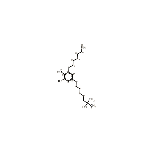 CCC(C)(C)CCCCCCc1cc(O)c(O)c(CCCCCCC(C)(C)C)c1